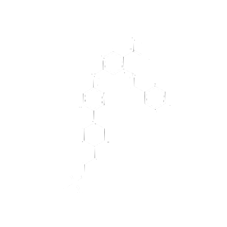 CS(=O)(=O)OCCC1CCN(c2ccc(Nc3cc(NCc4ccccc4)c(C(N)=O)cn3)cc2)CC1